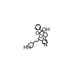 O=C(OCC(CCC1CCNCC1)c1cnccn1)C(O)(c1ccccc1)C1CCCC1